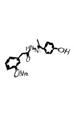 COc1cccc(CC(=O)N/N=C(\C)c2ccc(O)cc2)c1